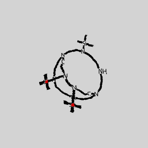 C[Si](C)(C)N1CCNCCN2CCN([Si](C)(C)C)CCN([Si](C)(C)C)CCN(CC1)CCN([Si](C)(C)C)CCN([Si](C)(C)C)CC2